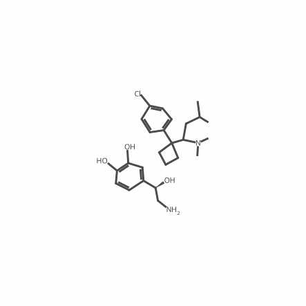 CC(C)CC(N(C)C)C1(c2ccc(Cl)cc2)CCC1.NC[C@H](O)c1ccc(O)c(O)c1